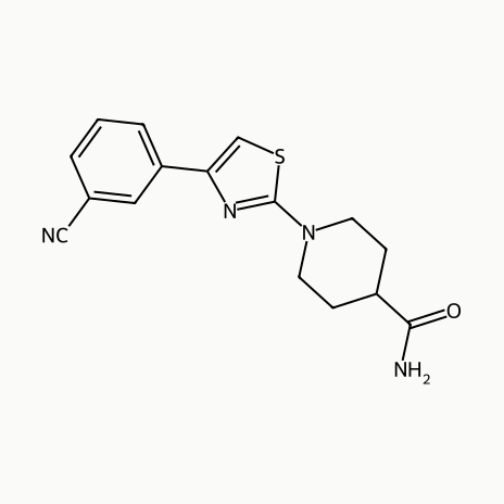 N#Cc1cccc(-c2csc(N3CCC(C(N)=O)CC3)n2)c1